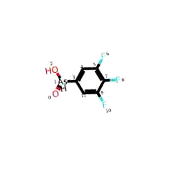 O=[AsH](O)c1cc(F)c(F)c(F)c1